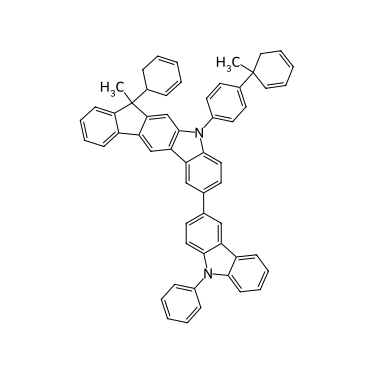 CC1(c2ccc(-n3c4ccc(-c5ccc6c(c5)c5ccccc5n6-c5ccccc5)cc4c4cc5c(cc43)C(C)(C3C=CC=CC3)c3ccccc3-5)cc2)C=CC=CC1